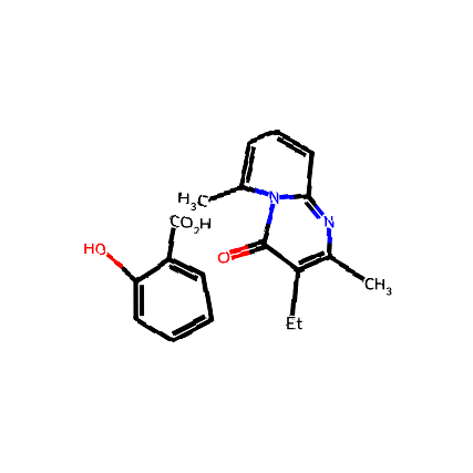 CCc1c(C)nc2cccc(C)n2c1=O.O=C(O)c1ccccc1O